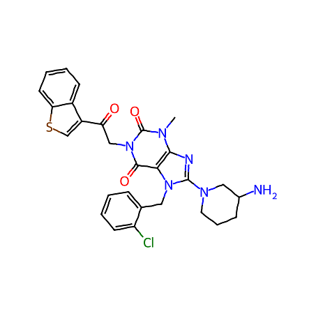 Cn1c(=O)n(CC(=O)c2csc3ccccc23)c(=O)c2c1nc(N1CCCC(N)C1)n2Cc1ccccc1Cl